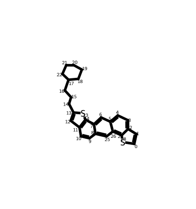 c1cc2ccc3cc4c(ccc5cc(CCCC6CCCCC6)sc54)cc3c2s1